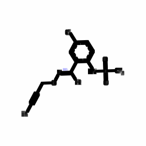 CCC#CCO/N=C(\CC)c1cc(Cl)ccc1NS(=O)(=O)C(F)(F)F